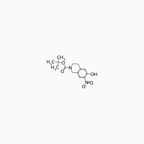 CC(C)(C)OC(=O)N1CCc2cc(O)c([N+](=O)[O-])cc2C1